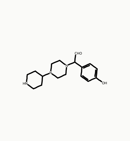 O=CC(c1ccc(O)cc1)N1CCN(C2CCNCC2)CC1